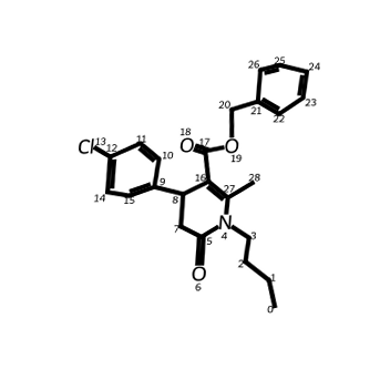 CCCCN1C(=O)CC(c2ccc(Cl)cc2)C(C(=O)OCc2ccccc2)=C1C